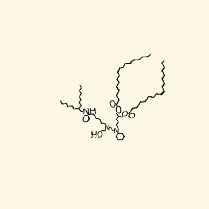 CCCCCCCC/C=C\CCCCCCCC(=O)OCC(CCCCN(CCN(CCO)CCCCCC(=O)NCC(CCCCCC)CCCCCCCC)C1CCCCC1)COC(=O)CCCCCCC/C=C\CCCCCCCC